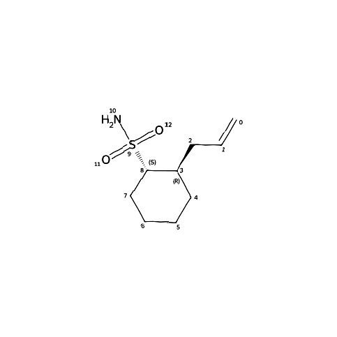 C=CC[C@H]1CCCC[C@@H]1S(N)(=O)=O